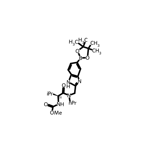 CCCN(Cc1nc2cc(B3OC(C)(C)C(C)(C)O3)ccc2[nH]1)C(=O)[C@@H](NC(=O)OC)C(C)C